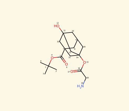 CC(C)(C)OC(=O)C12CC3CC(O)(CC(OC(=O)CN)(C3)C1)C2